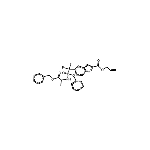 C=CCOC(=O)c1cc2cc(C(F)(F)P(=O)(NC(C)C(=O)OCc3ccccc3)Oc3ccccc3)ccc2s1